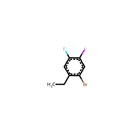 CCc1cc(F)c(I)cc1Br